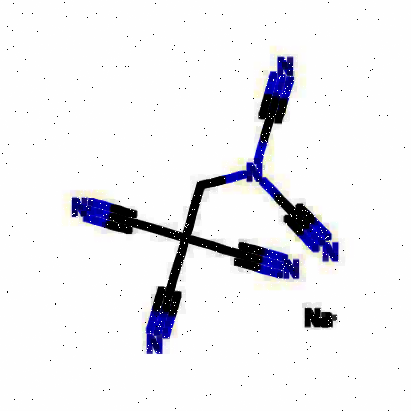 N#CN(C#N)CC(C#N)(C#N)C#N.[Na]